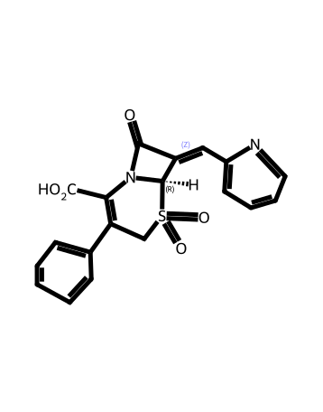 O=C(O)C1=C(c2ccccc2)CS(=O)(=O)[C@@H]2/C(=C\c3ccccn3)C(=O)N12